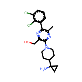 Cc1nc(N2CCC(C3(N)CC3)CC2)c(CO)nc1-c1cccc(Cl)c1Cl